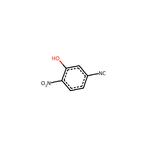 [C-]#[N+]c1ccc([N+](=O)[O-])c(O)c1